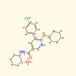 O=C(NC1CCCC[C@H]1O)c1cnc(OC2CCCCC2)c(-c2ccc(Cl)cc2)c1